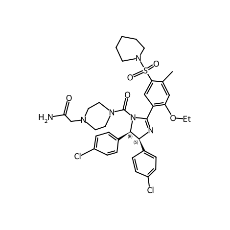 CCOc1cc(C)c(S(=O)(=O)N2CCCCC2)cc1C1=N[C@@H](c2ccc(Cl)cc2)[C@@H](c2ccc(Cl)cc2)N1C(=O)N1CCN(CC(N)=O)CC1